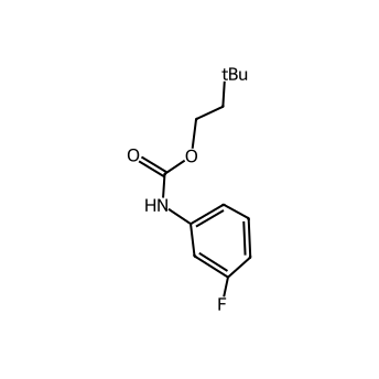 CC(C)(C)CCOC(=O)Nc1cccc(F)c1